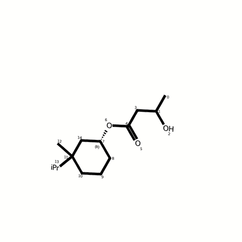 CC(O)CC(=O)O[C@@H]1CCCC(C)(C(C)C)C1